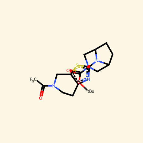 CC(C)(C)OC(=O)N1CC2CCC(C1)N2c1nc2c(s1)CN(C(=O)C(F)(F)F)CC2